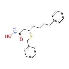 O=C(CC(CCCCc1ccccc1)SCc1ccccc1)NO